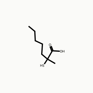 CCCCCC(C)(S)C(=O)O